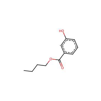 CCCCOC(=O)c1[c]c(O)ccc1